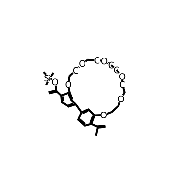 C=C(C)c1ccc2cc1OCCOCCOCCOCCOCCOc1cc-2ccc1C(=C)O[Si](C)(C)C